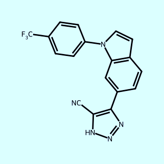 N#Cc1[nH]nnc1-c1ccc2ccn(-c3ccc(C(F)(F)F)cc3)c2c1